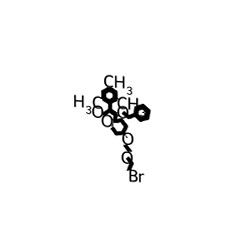 Cc1cc(C)c(C2=C(OCc3ccccc3)[C@]3(CC[C@@H](OCCOCCBr)CC3)OC2=O)c(C)c1